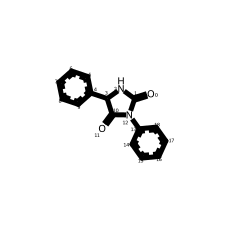 O=C1NC(c2ccccc2)C(=O)N1c1ccccc1